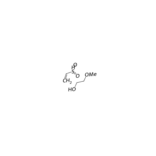 C=C[SH](=O)=O.COCCO